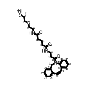 NOCCOCCNC(=O)CCCC(=O)NCCC(=O)N1Cc2ccccc2C#Cc2ccccc21